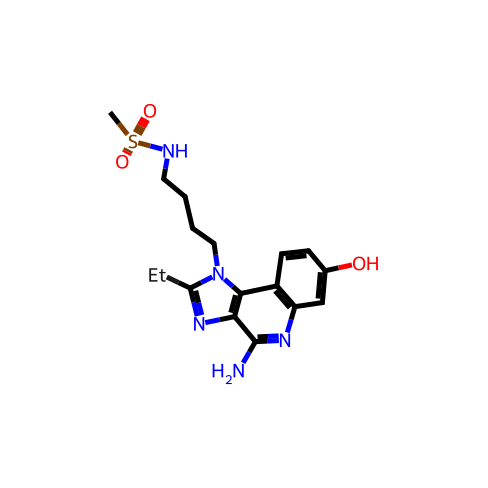 CCc1nc2c(N)nc3cc(O)ccc3c2n1CCCCNS(C)(=O)=O